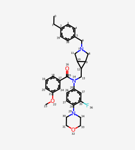 CCc1ccc(CN2CC3C(C2)C3CN(C(=O)c2cccc(OC)c2)c2ccc(N3CCOCC3)c(F)c2)cc1